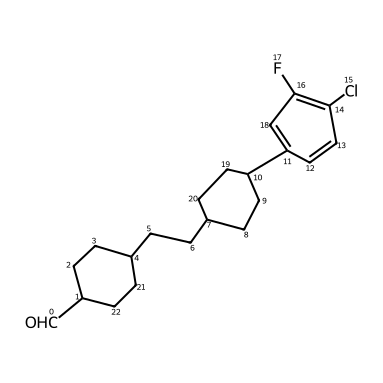 O=CC1CCC(CCC2CCC(c3ccc(Cl)c(F)c3)CC2)CC1